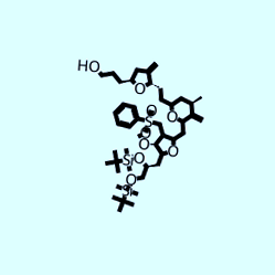 C=C1C(CC2OC(C[C@@H](CO[Si](C)(C)C(C)(C)C)O[Si](C)(C)C(C)(C)C)[C@H](OC)C2CS(=O)(=O)c2ccccc2)OC(CC[C@@H]2O[C@@H](CCCO)CC2=C)C[C@H]1C